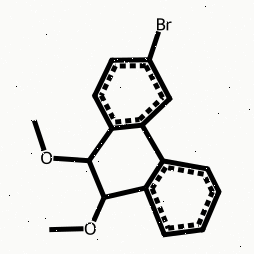 COC1c2ccccc2-c2cc(Br)ccc2C1OC